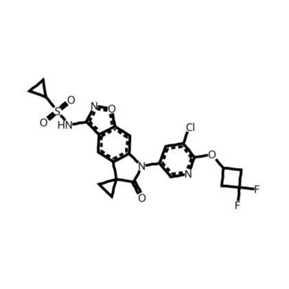 O=C1N(c2cnc(OC3CC(F)(F)C3)c(Cl)c2)c2cc3onc(NS(=O)(=O)C4CC4)c3cc2C12CC2